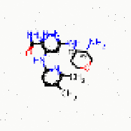 Cc1ccc(Nc2cc(N[C@@H]3CCOC[C@@H]3N)nnc2C(N)=O)nc1C